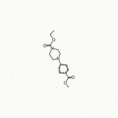 CCOC(=O)N1CCN(c2ccc(C(=O)OC)cc2)CC1